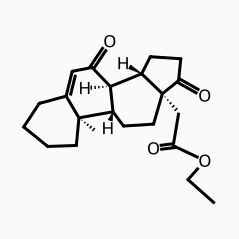 CCOC(=O)C[C@]12CC[C@H]3[C@@H](C(=O)C=C4CCCC[C@@]43C)[C@@H]1CCC2=O